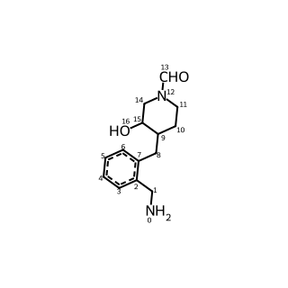 NCc1ccccc1CC1CCN(C=O)CC1O